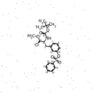 COC(=O)[C@H](Cc1cccc(OS(=O)(=O)c2ccccc2)c1)NC(=O)OC(C)(C)C